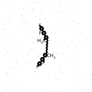 Cc1cc(-c2ccc(-c3ccc(F)cc3)c(F)c2)ccc1CCCCCCCCCc1ccc(-c2ccc(-c3ccc(F)cc3)c(F)c2)cc1C